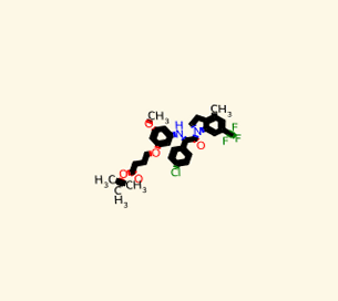 COc1cc(NC(C(=O)N2CCc3c(C)cc(C(F)(F)F)cc32)c2ccc(Cl)cc2)cc(OCCCC(=O)OC(C)(C)C)c1